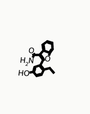 CCc1ccc(O)cc1-c1oc2ccccc2c1C(N)=O